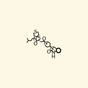 CC(C)CCN1C(=O)[C@H](CC(=O)N2CCC(N3Cc4ccccc4NC3=O)CC2)SC12CCSCC2